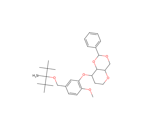 COc1ccc(COC([SiH3])(C(C)(C)C)C(C)(C)C)cc1OC1CCOC2COC(c3ccccc3)OC21